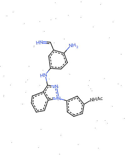 CC(=O)Nc1cccc(-n2nc(Nc3ccc(N)c(C=N)c3)c3ccccc32)c1